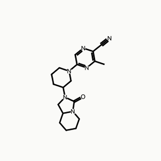 Cc1nc(N2CCCC(N3CC4CCCCN4C3=O)C2)cnc1C#N